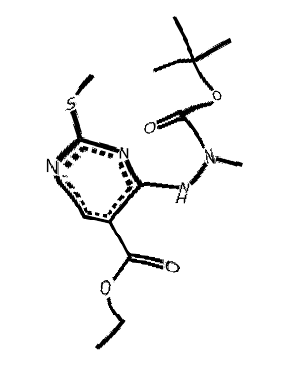 CCOC(=O)c1cnc(SC)nc1NN(C)C(=O)OC(C)(C)C